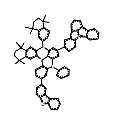 CC1(C)CCC(C)(C)c2cc(N3c4cc5c(cc4B4c6ccc(-c7ccc8oc9ccccc9c8c7)cc6N(c6ccccc6)c6cc(-c7ccc8c(c7)c7cccc9c%10ccccc%10n8c97)cc3c64)C(C)(C)CCC5(C)C)ccc21